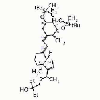 C=C1/C(=C\C=C2/CCC[C@]3(C)C(C(C)SCC(O)(CC)CC)=CC[C@@H]23)C[C@@H](O[Si](C)(C)C(C)(C)C)C[C@@H]1O[Si](C)(C)C(C)(C)C